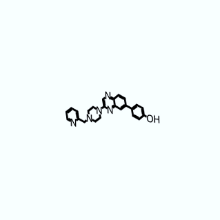 Oc1ccc(-c2ccc3ncc(N4CCN(Cc5ccccn5)CC4)nc3c2)cc1